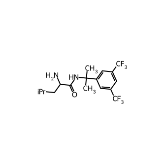 CC(C)CC(N)C(=O)NC(C)(C)c1cc(C(F)(F)F)cc(C(F)(F)F)c1